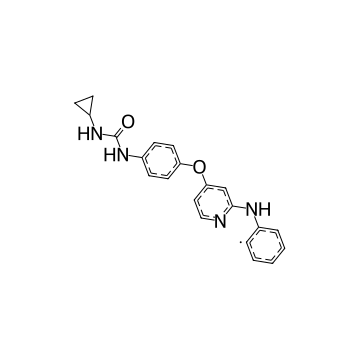 O=C(Nc1ccc(Oc2ccnc(Nc3[c]cccc3)c2)cc1)NC1CC1